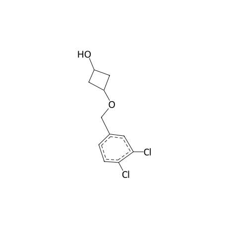 OC1CC(OCc2ccc(Cl)c(Cl)c2)C1